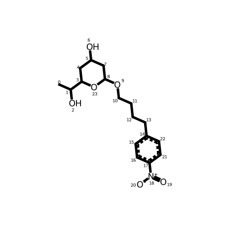 CC(O)C1CC(O)CC(OCCCCc2ccc([N+](=O)[O-])cc2)O1